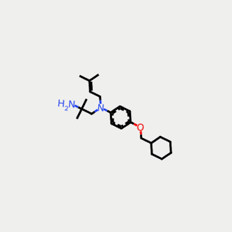 CC(C)=CCN(CC(C)(C)N)c1ccc(OCC2CCCCC2)cc1